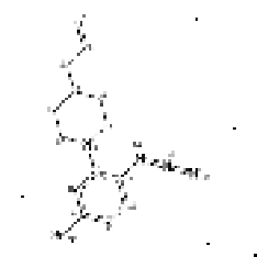 C=CCC1CCN(c2cc(Br)ccc2N=[N+]=[N-])CC1